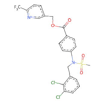 CS(=O)(=O)N(Cc1cccc(Cl)c1Cl)c1ccc(C(=O)OCc2ccc(C(F)(F)F)nc2)cc1